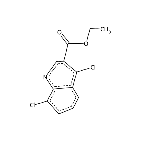 CCOC(=O)c1cnc2c(Cl)cccc2c1Cl